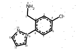 NCc1cc(Cl)ccc1-n1cccn1